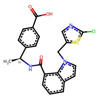 C[C@H](NC(=O)c1cccc2ccn(Cc3cnc(Cl)s3)c12)c1ccc(C(=O)O)cc1